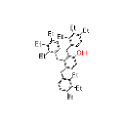 CCc1ccc(Cc2ccc(O)c(Cc3ccc(CC)c(CC)c3CC)c2Cc2ccc(CC)c(CC)c2CC)c(CC)c1CC